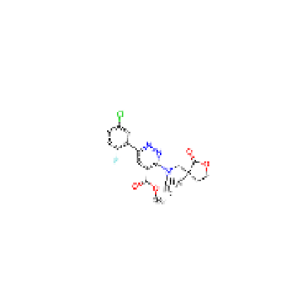 CN(CC1(C)CCOC1=O)c1nnc(-c2cc(Cl)ccc2F)cc1C(=O)OC(C)(C)C